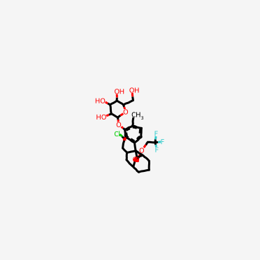 Cc1ccc(C2(OCC(F)(F)F)OOC23C2CCCC3CC(CCCl)C2)cc1OC1OC(CO)C(O)C(O)C1O